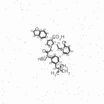 CCCCN(C(=O)CN1C[C@H](c2ccc3c(c2)CCO3)[C@@H](C(=O)O)[C@@H]1CCn1ccccc1=O)c1cccc(C[N+](C)(C)C)c1